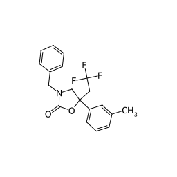 Cc1cccc(C2(CC(F)(F)F)CN(Cc3ccccc3)C(=O)O2)c1